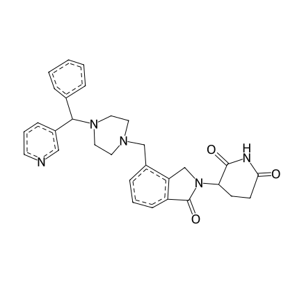 O=C1CCC(N2Cc3c(CN4CCN(C(c5ccccc5)c5cccnc5)CC4)cccc3C2=O)C(=O)N1